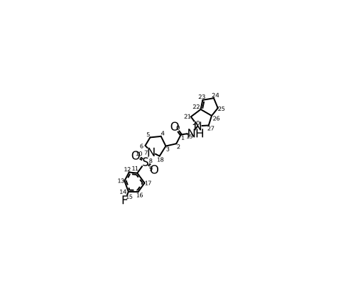 O=C(CC1CCCN(S(=O)(=O)c2ccc(F)cc2)C1)NN1CC2=CCCC2C1